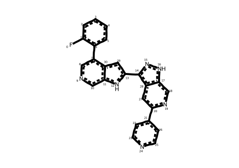 Fc1ccccc1-c1cncc2[nH]c(-c3n[nH]c4cnc(-c5ccncc5)cc34)cc12